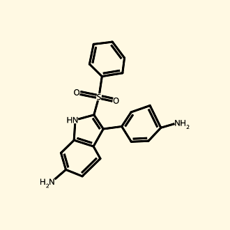 Nc1ccc(-c2c(S(=O)(=O)c3ccccc3)[nH]c3cc(N)ccc23)cc1